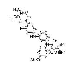 COc1ccc(N(C(=O)OC(C(C)C)C(C)C)c2ccnc(Nc3ccc(N4CCN(C)C(C)C4)c(F)c3)n2)c(OC)c1